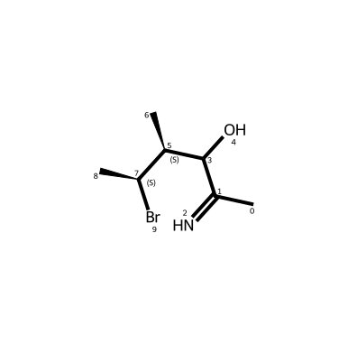 CC(=N)C(O)[C@H](C)[C@H](C)Br